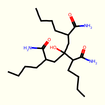 CCCCC(CC(O)(CC(CCCC)C(N)=O)C(CCCC)C(N)=O)C(N)=O